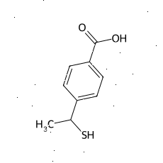 CC(S)c1ccc(C(=O)O)cc1